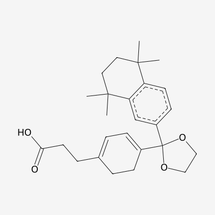 CC1(C)CCC(C)(C)c2cc(C3(C4=CC=C(CCC(=O)O)CC4)OCCO3)ccc21